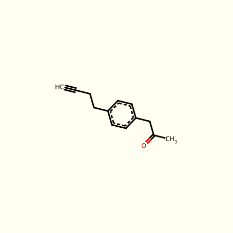 C#CCCc1ccc(CC(C)=O)cc1